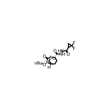 CCCCON1C(=O)N2C[C@@H]1CC[C@H]2C(=O)NNC(=O)C1CC1(F)F